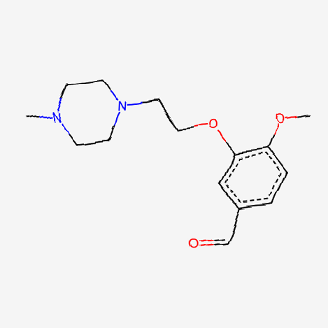 COc1ccc(C=O)cc1OCCN1CCN(C)CC1